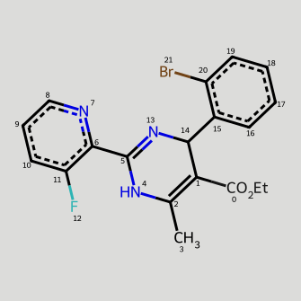 CCOC(=O)C1=C(C)NC(c2ncccc2F)=NC1c1ccccc1Br